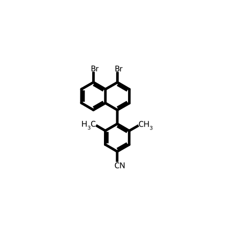 Cc1cc(C#N)cc(C)c1-c1ccc(Br)c2c(Br)cccc12